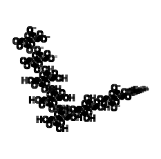 O=C(O)CN(CCN(CC(=O)O)CC(=O)O)CC(=O)O.O=C(O)CN(CCN(CC(=O)O)CC(=O)O)CC(=O)O.O=C(O)CN(CCN(CC(=O)O)CC(=O)O)CC(=O)O.O=C(O)CN(CCN(CC(=O)O)CC(=O)O)CC(=O)O.O=C([O-])CN(CCN(CC(=O)[O-])CC(=O)[O-])CC(=O)[O-].O=C([O-])CN(CCN(CC(=O)[O-])CC(=O)[O-])CC(=O)[O-].O=C([O-])CN(CCN(CC(=O)[O-])CC(=O)[O-])CC(=O)[O-].[Fe+3].[Fe+3].[Fe+3].[Fe+3]